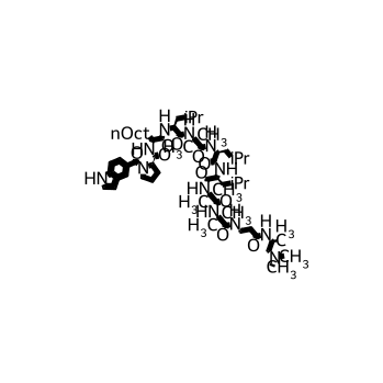 CCCCCCCCC(NC(=O)[C@@H]1CCCN1C(=O)c1ccc2[nH]ccc2c1)C(=O)N[C@@H](CC(C)C)C(=O)NC(C)(C)C(=O)N[C@@H](CC(C)C)C(=O)N[C@@H](CC(C)C)C(=O)NC(C)(C)C(=O)NC(C)(C)C(=O)NCCC(=O)N[C@@H](C)CN(C)C